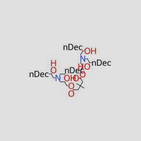 CCCCCCCCCCC(O)CN(CCCOC(=O)CC(C)(C)CC(=O)OCCCN(CC(O)CCCCCCCCCC)CC(O)CCCCCCCCCC)CC(O)CCCCCCCCCC